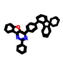 c1ccc(-c2nc(-c3ccc(-c4cccc5c4-c4ccccc4C54CCCCC4)cc3)c3oc4ccccc4c3n2)cc1